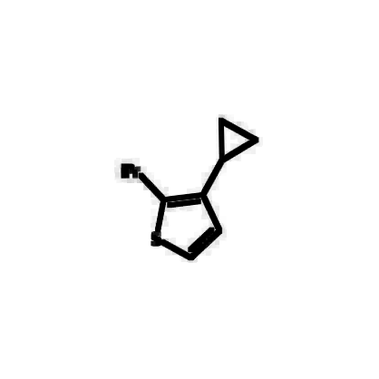 CC(C)c1sccc1C1CC1